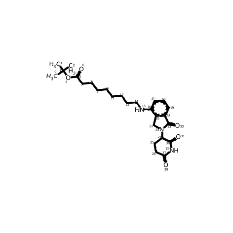 CC(C)(C)OC(=O)CCCCCCCCNc1cccc2c1CN(C1CCC(=O)NC1=O)C2=O